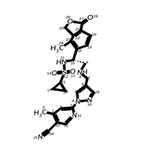 Cc1cc(-n2cc(CNC[C@H](NS(=O)(=O)C3CC3)c3ccc4c(c3C)COC4=O)cn2)ncc1C#N